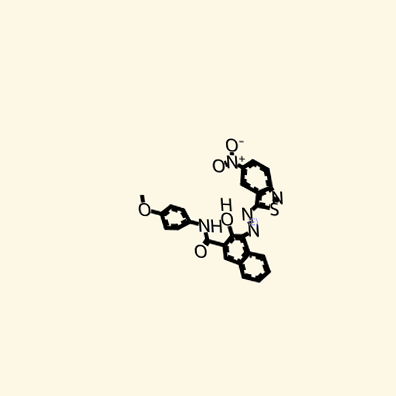 COc1ccc(NC(=O)c2cc3ccccc3c(/N=N/c3snc4ccc([N+](=O)[O-])cc34)c2O)cc1